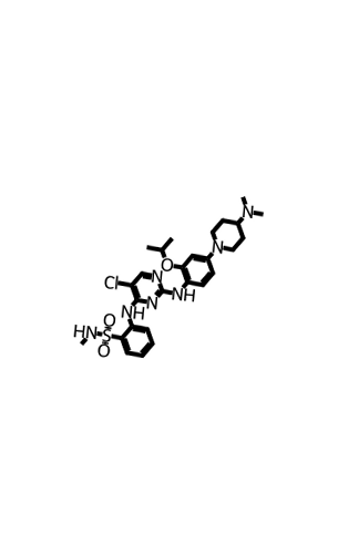 CNS(=O)(=O)c1ccccc1Nc1nc(Nc2ccc(N3CCC(N(C)C)CC3)cc2OC(C)C)ncc1Cl